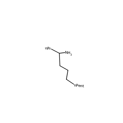 CC[CH]C(N)CCCCCCCC